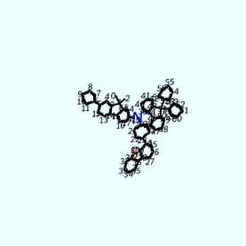 CC1(C)c2cc(-c3ccccc3)ccc2-c2ccc(N(c3ccc(-c4cccc5c4sc4ccccc45)cc3)c3cccc4c3-c3ccccc3C4(c3ccccc3)c3ccccc3)cc21